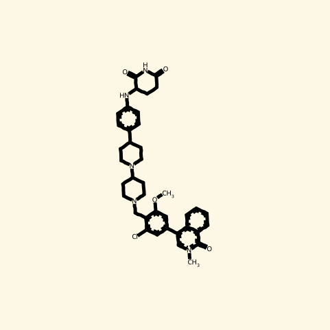 COc1cc(-c2cn(C)c(=O)c3ccccc23)cc(Cl)c1CN1CCC(N2CCC(c3ccc(NC4CCC(=O)NC4=O)cc3)CC2)CC1